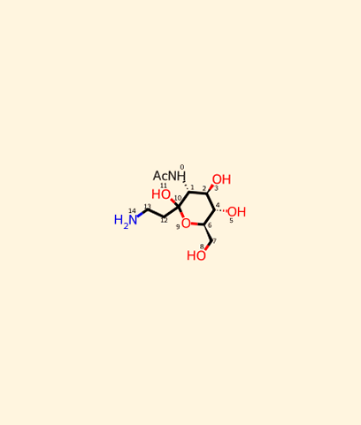 CC(=O)N[C@@H]1[C@@H](O)[C@H](O)[C@@H](CO)OC1(O)CCN